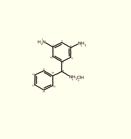 Cl.Nc1cc(N)cc(C(N)c2ccccc2)c1